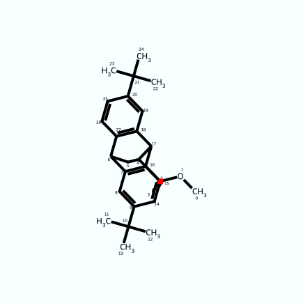 COC(=O)C1CC2c3cc(C(C)(C)C)ccc3C1c1cc(C(C)(C)C)ccc12